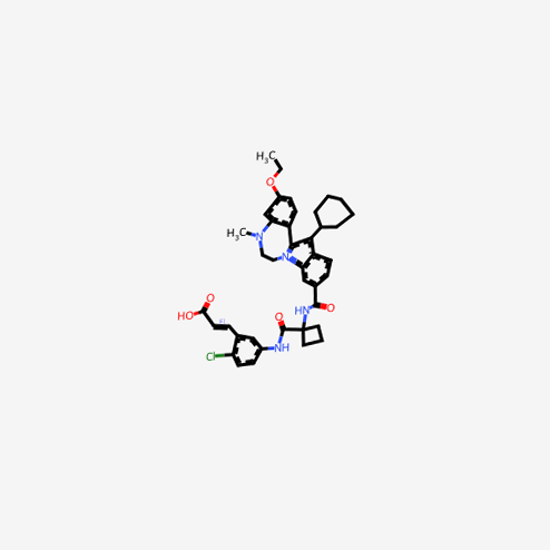 CCOc1ccc2c(c1)N(C)CCn1c-2c(C2CCCCC2)c2ccc(C(=O)NC3(C(=O)Nc4ccc(Cl)c(/C=C/C(=O)O)c4)CCC3)cc21